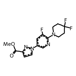 COC(=O)c1ccn(-c2cnc(N3CCC(F)(F)CC3)c(F)c2)n1